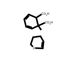 C1=COCCC1.CC1(C(=O)O)C=CC=CC1C(=O)O